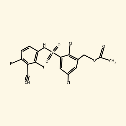 C#Cc1c(F)ccc(NS(=O)(=O)c2cc(Cl)cc(COC(C)=O)c2Cl)c1F